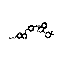 COc1cnc2c(Sc3ccc(Nc4nnc(N5CCCC(C)(C)C5)c5ccccc45)cc3)ccnc2c1